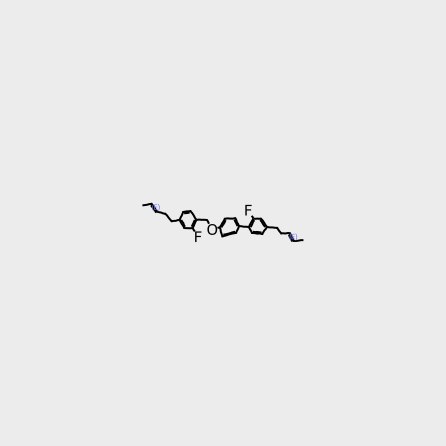 C/C=C/CCc1ccc(COc2ccc(-c3ccc(CC/C=C/C)cc3F)cc2)c(F)c1